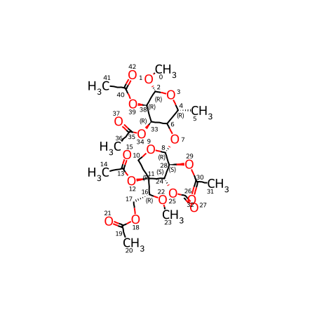 CO[C@@H]1O[C@H](C)C(O[C@H]2OC[C@@](OC(C)=O)([C@@H](COC(C)=O)OC)[C@@H](OC=O)[C@@H]2OC(C)=O)[C@@H](OC(C)=O)[C@H]1OC(C)=O